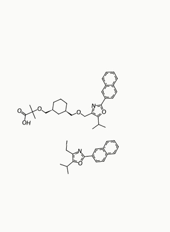 CC(C)c1oc(-c2ccc3ccccc3c2)nc1CI.CC(C)c1oc(-c2ccc3ccccc3c2)nc1COC[C@@H]1CCC[C@H](COC(C)(C)C(=O)O)C1